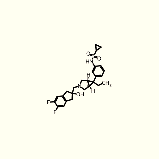 CCC1(c2cccc(NS(=O)(=O)C3CC3)c2)[C@@H]2CN(CC3(O)Cc4cc(F)c(F)cc4C3)C[C@@H]21